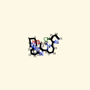 CN1CC2CCC(C1)N2c1cccc2nc(C3CCCC(c4ncccc4Cl)N3C)c(CO)n12